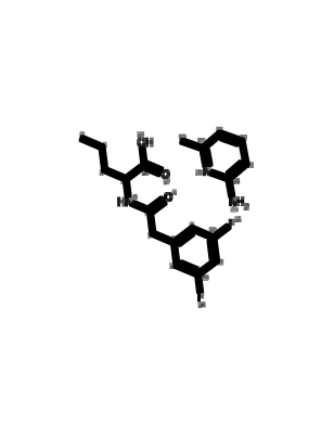 CCCC(NC(=O)Cc1cc(F)cc(F)c1)C(=O)O.Cc1cccc(N)n1